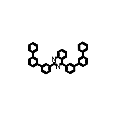 c1ccc(-c2cccc(-c3cccc(-c4nc(-c5cccc(-c6cccc(-c7ccccc7)c6)c5)c5ccccc5n4)c3)c2)cc1